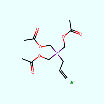 C=CC[P+](COC(C)=O)(COC(C)=O)COC(C)=O.[Br-]